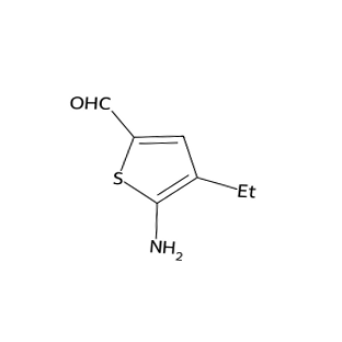 CCc1cc(C=O)sc1N